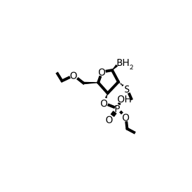 B[C@@H]1O[C@H](COCC)[C@@H](OP(=O)(O)OCC)[C@H]1SC